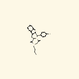 CCCCN1CC(=O)N2C(Cc3c([nH]c4ccccc34)C2c2ccc(N)cc2)C1=O